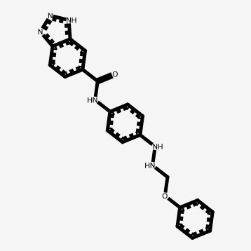 O=C(Nc1ccc(NNCOc2ccccc2)cc1)c1ccc2nn[nH]c2c1